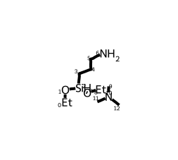 CCO[SiH](CCCN)OCC.CN(C)C